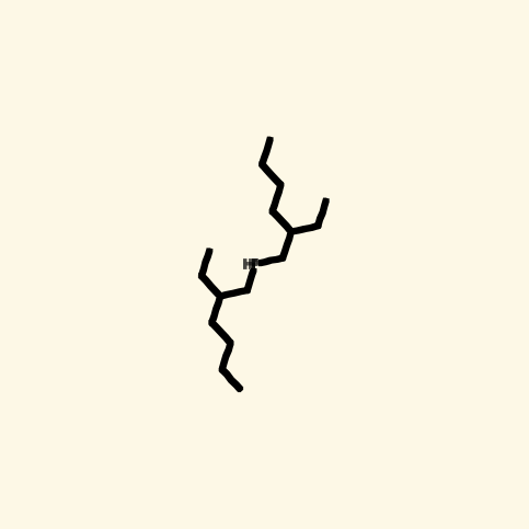 CCCCC(CC)CPCC(CC)CCCC